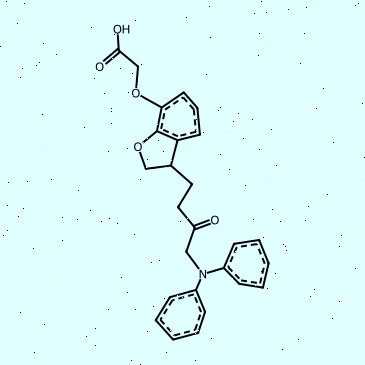 O=C(O)COc1cccc2c1OCC2CCC(=O)CN(c1ccccc1)c1ccccc1